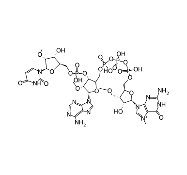 COC[C@H]1[C@@H](O)[C@H](n2c[n+](C)c3c(=O)[nH]c(N)nc32)O[C@@H]1COP(=O)(O)OP(=O)(O)OP(=O)(O)OCC1O[C@@H](n2cnc3c(N)ncnc32)[C@H](OC)[C@@H]1OP(=O)(O)OC[C@H]1O[C@@H](n2ccc(=O)[nH]c2=O)[C@H](OC)[C@@H]1O